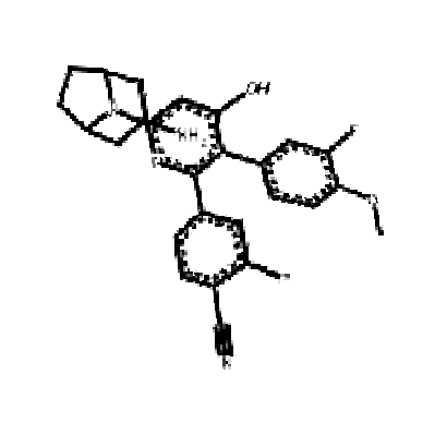 COc1ccc(-c2c(O)cc(N3C4CCC3CC(N)C4)nc2-c2ccc(C#N)c(F)c2)cc1F